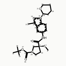 CS[C@@]1(C(=O)Nc2ccc3c(c2)c(I)nn3[C@@H]2CCCCO2)CCN(C(=O)OC(C)(C)C)C1